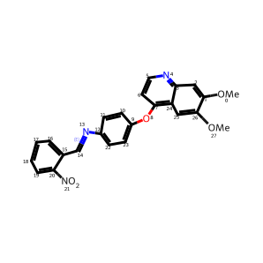 COc1cc2nccc(Oc3ccc(/N=C/c4ccccc4[N+](=O)[O-])cc3)c2cc1OC